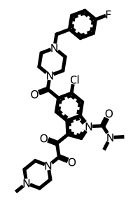 CN1CCN(C(=O)C(=O)c2cn(C(=O)N(C)C)c3cc(Cl)c(C(=O)N4CCN(Cc5ccc(F)cc5)CC4)cc23)CC1